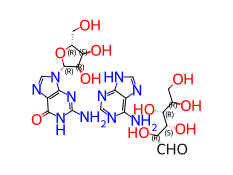 Nc1nc2c(ncn2[C@@H]2O[C@H](CO)[C@@H](O)[C@H]2O)c(=O)[nH]1.Nc1ncnc2[nH]cnc12.O=C[C@H](O)[C@@H](O)[C@H](O)[C@H](O)CO